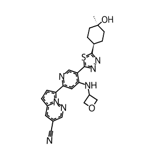 C[C@]1(O)CC[C@@H](c2nnc(-c3cnc(-c4ccc5cc(C#N)cnn45)cc3NC3COC3)s2)CC1